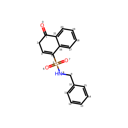 O=C1CC=C(S(=O)(=O)NCc2ccccc2)c2ccccc21